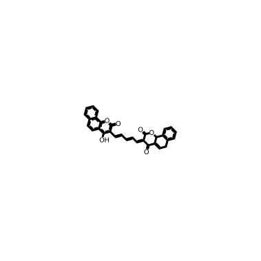 O=C1OC2C(=CCc3ccccc32)C(=O)C1=CC=CC=Cc1c(O)c2ccc3ccccc3c2oc1=O